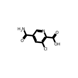 NC(=O)c1cnc(C(=O)O)c(Cl)c1